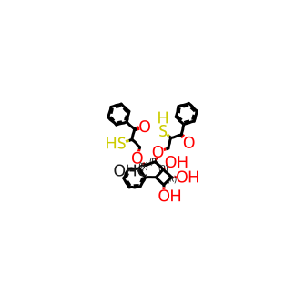 O=C[C@H](OCC(S)C(=O)c1ccccc1)[C@@H](OCC(S)C(=O)c1ccccc1)[C@@]1(O)C(c2ccccc2)C(O)[C@H]1O